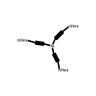 CCCCCCC#[C][Al]([C]#CCCCCCC)[C]#CCCCCCC